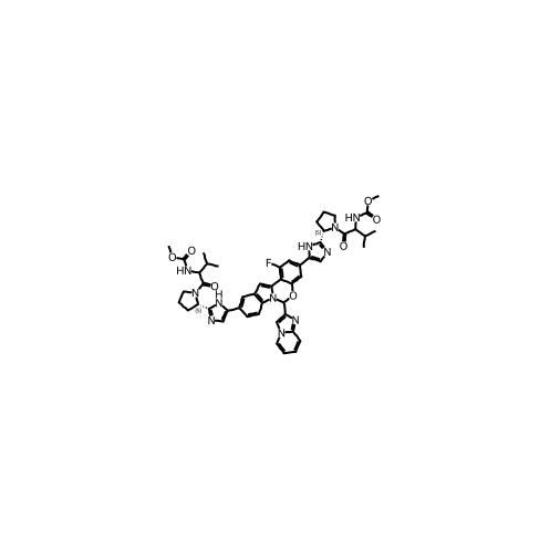 COC(=O)NC(C(=O)N1CCC[C@H]1c1ncc(-c2cc(F)c3c(c2)OC(c2cn4ccccc4n2)n2c-3cc3cc(-c4cnc([C@@H]5CCCN5C(=O)C(NC(=O)OC)C(C)C)[nH]4)ccc32)[nH]1)C(C)C